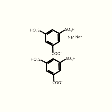 O=C([O-])c1cc(S(=O)(=O)O)cc(S(=O)(=O)O)c1.O=C([O-])c1cc(S(=O)(=O)O)cc(S(=O)(=O)O)c1.[Na+].[Na+]